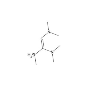 C[SiH2]C(=CN(C)C)N(C)C